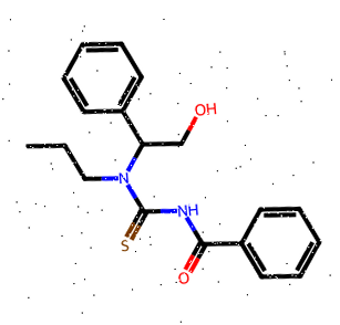 CCCN(C(=S)NC(=O)c1ccccc1)C(CO)c1ccccc1